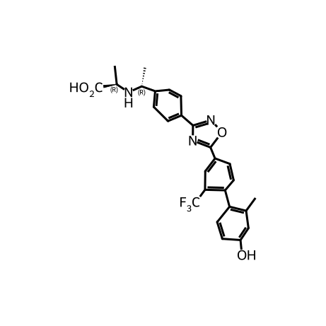 Cc1cc(O)ccc1-c1ccc(-c2nc(-c3ccc([C@@H](C)N[C@H](C)C(=O)O)cc3)no2)cc1C(F)(F)F